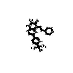 C[C@@H]1Nc2ncc(-c3ccc(C(C)(C)O)nc3)nc2N(CCC2CCOCC2)C1=O